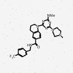 CNc1nc(N2CCN(C)CC2)nc(N2CCCc3cc(C(=O)NCc4ccc(C(F)(F)F)cc4)ccc32)n1